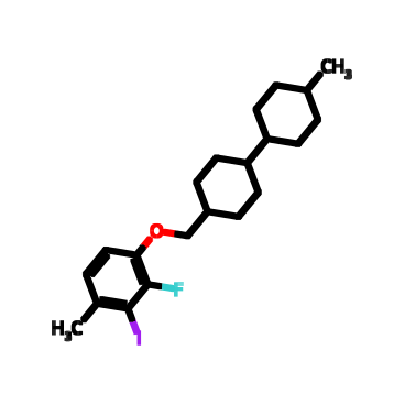 Cc1ccc(OCC2CCC(C3CCC(C)CC3)CC2)c(F)c1I